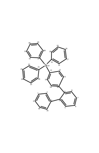 c1ccc(-c2ccccc2-c2ccc([Si](c3ccccc3)(c3ccccc3)c3ccccc3)cc2)cc1